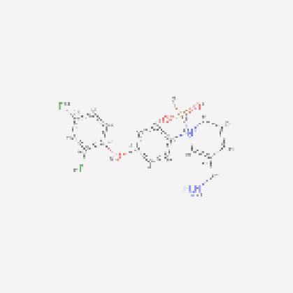 CS(=O)(=O)[N+]1(c2ccc(Oc3ccc(F)cc3F)cc2)C=C(CN)C=CC1